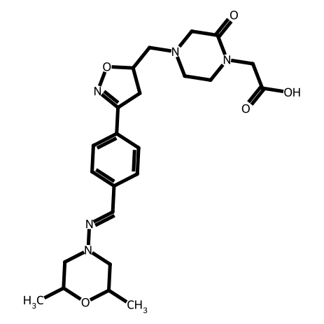 CC1CN(N=Cc2ccc(C3=NOC(CN4CCN(CC(=O)O)C(=O)C4)C3)cc2)CC(C)O1